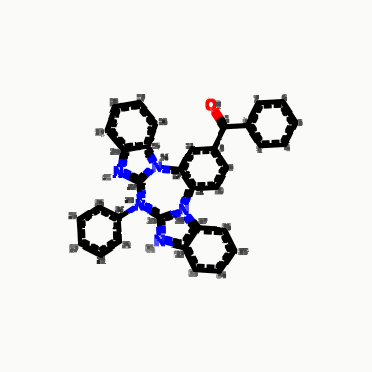 O=C(c1ccccc1)c1ccc2c(c1)n1c3ccccc3nc1n(-c1ccccc1)c1nc3ccccc3n21